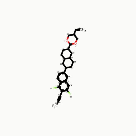 C=CC1COC(C2CCC3CC(c4ccc5c(F)c(C#CC(F)(F)F)c(F)cc5c4)CCC3C2)OC1